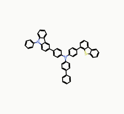 c1ccc(-c2ccc(N(c3ccc(-c4ccc5c(c4)c4ccccc4n5-c4ccccc4)cc3)c3ccc(-c4cccc5c4sc4ccccc45)cc3)cc2)cc1